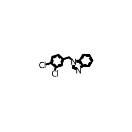 Clc1ccc(Cn2cnc3ccccc32)cc1Cl